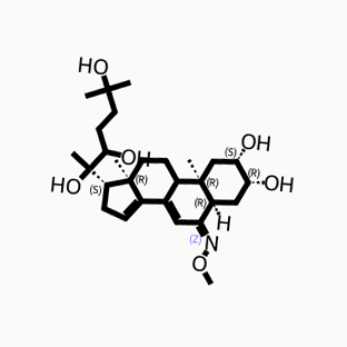 CO/N=C1\C=C2C3=CC[C@H](C(C)(O)C(O)CCC(C)(C)O)[C@@]3(C)CCC2[C@@]2(C)C[C@H](O)[C@H](O)C[C@@H]12